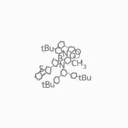 Cc1cc2c3c(c1)N(c1c(-c4ccccc4)ccc4c1OCCCO4)c1ccc(C(C)(C)C)cc1B3c1ccc(-c3ccc4c(c3)sc3ccccc34)cc1N2c1cc(-c2ccc(C(C)(C)C)cc2)cc(-c2ccc(C(C)(C)C)cc2)c1